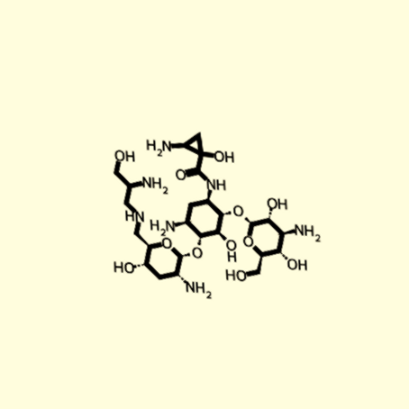 NC(CO)CNC[C@H]1O[C@H](O[C@H]2[C@H](O)[C@@H](O[C@H]3O[C@H](CO)[C@@H](O)[C@H](N)[C@H]3O)[C@H](NC(=O)C3(O)CC3N)C[C@@H]2N)[C@H](N)C[C@@H]1O